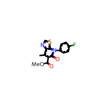 COC(=O)c1c(C)c2ncsc2n(-c2ccc(F)cc2)c1=O